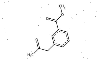 COC(=O)c1cccc(CC(C)=O)c1